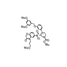 CCN(C(=O)[C@H]1CN(C(=O)OC(C)(C)C)CC[C@@H]1c1cccc(OCc2cc(OC)cc(OC)c2)c1)c1ccc2c(c1)N(CCCOC)C(=O)CO2